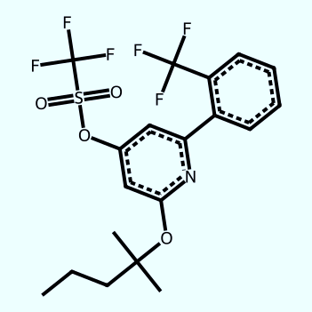 CCCC(C)(C)Oc1cc(OS(=O)(=O)C(F)(F)F)cc(-c2ccccc2C(F)(F)F)n1